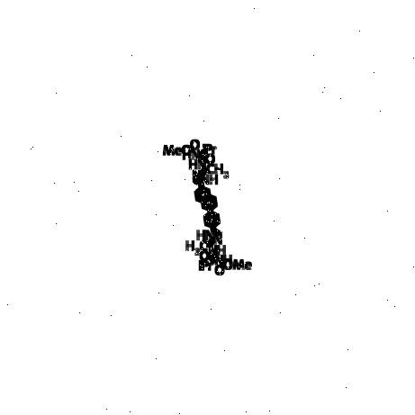 COC(=O)N[C@H](C(=O)N[C@@H](C)c1ncc(-c2ccc(-c3ccc4cc(-c5cnc([C@H](C)NC(=O)[C@@H](NC(=O)OC)C(C)C)[nH]5)ccc4c3)cc2)[nH]1)C(C)C